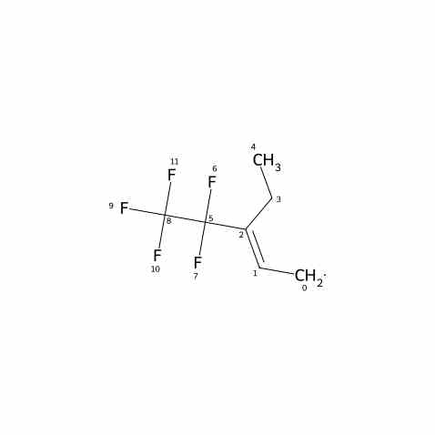 [CH2]/C=C(\CC)C(F)(F)C(F)(F)F